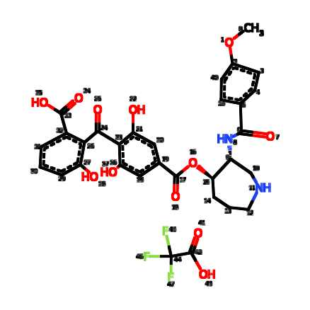 COc1ccc(C(=O)N[C@@H]2CNCCC[C@H]2OC(=O)c2cc(O)c(C(=O)c3c(O)cccc3C(=O)O)c(O)c2)cc1.O=C(O)C(F)(F)F